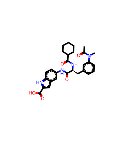 CC(=O)N(C)c1cccc(C[C@H](NC(=O)C2CCCCC2)C(=O)Nc2ccc3[nH]c(C(=O)O)cc3c2)c1